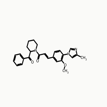 COc1cc(C=CC(=O)N2CCCCC2C(=O)c2ccccc2)ccc1-n1cnc(C)c1